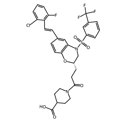 O=C(O)C1CCN(C(=O)CC[C@H]2CN(S(=O)(=O)c3cccc(C(F)(F)F)c3)c3cc(/C=C/c4c(F)cccc4Cl)ccc3O2)CC1